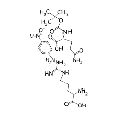 CC(C)(C)OC(=O)NC(CCC(N)=O)C(=O)O.N=C(N)NCCCC(N)C(=O)O.Nc1ccc([N+](=O)[O-])cc1